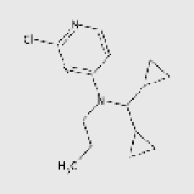 CCCN(c1ccnc(Cl)n1)C(C1CC1)C1CC1